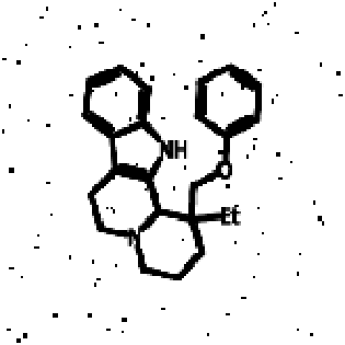 CCC1(COc2ccccc2)CCCN2CCc3c([nH]c4ccccc34)C21